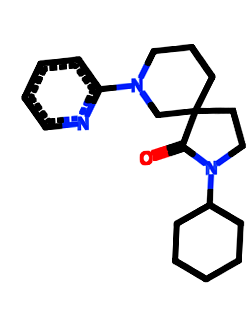 O=C1N(C2CCCCC2)CCC12CCCN(c1ccccn1)C2